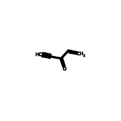 C#CC(=O)C=C